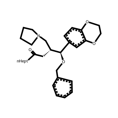 CCCCCCCC(=O)C[C@H](CN1CCCC1)[C@H](OCc1ccccc1)c1ccc2c(c1)OCCO2